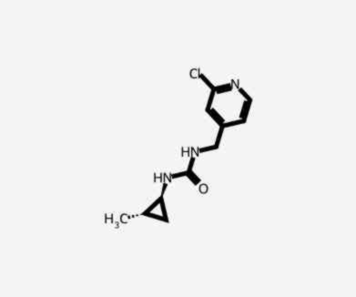 C[C@H]1C[C@@H]1NC(=O)NCc1ccnc(Cl)c1